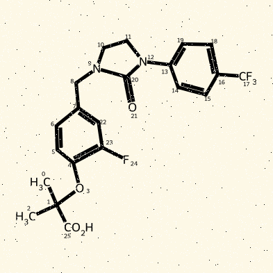 CC(C)(Oc1ccc(CN2CCN(c3ccc(C(F)(F)F)cc3)C2=O)cc1F)C(=O)O